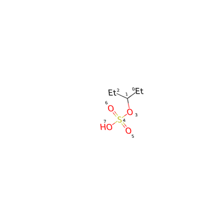 CCC(CC)OS(=O)(=O)O